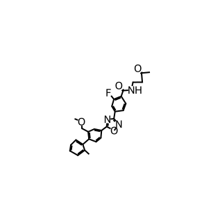 COCc1cc(-c2nc(-c3ccc(C(=O)NCCC(C)=O)c(F)c3)no2)ccc1-c1ccccc1C